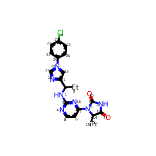 CCC(Nc1nccc(N2C(=O)NC(=O)C2C(C)C)n1)c1cn(-c2ccc(Cl)cc2)cn1